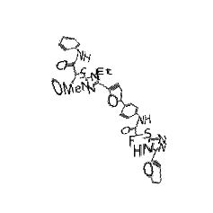 CCn1c(SC(COC)C(=O)Nc2ccccc2)nnc1-c1ccc(-c2ccc(NC(=O)C(F)Sc3nnc(-c4ccco4)[nH]3)cc2)o1